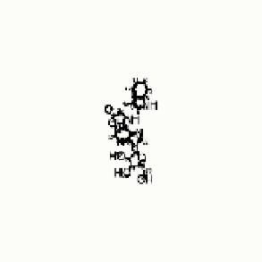 O=C(O)[C@H](Cc1c[nH]c2ccccc12)Nc1ncnc2c1ncn2[C@@H]1O[C@H](CO)[C@H](O)C1O